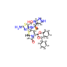 Cc1sc(N)nc1C1(NC(=O)/C=N\O)S[C@H]2CC(=O)N2C(C(=O)OC(c2ccccc2)c2ccccc2)=C1SCc1cn[nH]c1